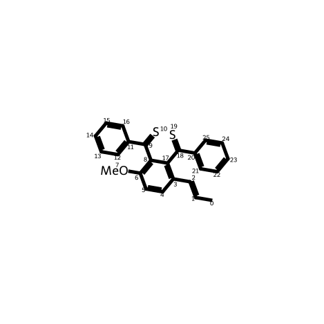 CC=Cc1ccc(OC)c(C(=S)c2ccccc2)c1C(=S)c1ccccc1